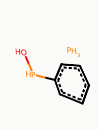 OPc1ccccc1.P